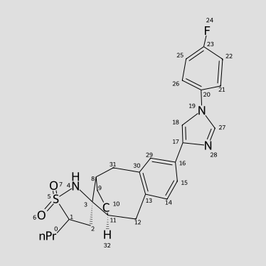 CCCC1C[C@]2(NS1(=O)=O)C1CC[C@H]2Cc2ccc(-c3cn(-c4ccc(F)cc4)cn3)cc2C1